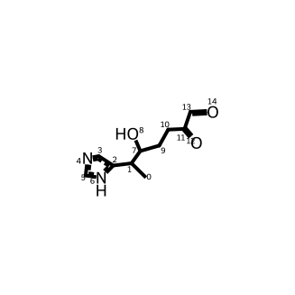 CC(c1cnc[nH]1)C(O)CCC(=O)C=O